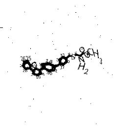 COC(=O)[C@@H](N)CSCc1ccc(-c2ccc(-c3cccc4c3oc3ccccc34)cc2)cc1